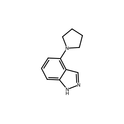 c1cc(N2CCCC2)c2cn[nH]c2c1